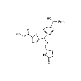 CCCCCC(O)c1ccc(C(OCC2CCC(=O)N2)c2ccc(C(=O)OC(C)C)s2)cc1